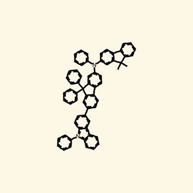 CC1(C)c2ccccc2-c2ccc(N(c3ccccc3)c3ccc4c(c3)C(c3ccccc3)(c3ccccc3)c3cc(-c5ccc6c(c5)c5ccccc5n6-c5ccccc5)ccc3-4)cc21